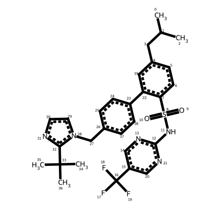 CC(C)Cc1ccc(S(=O)(=O)Nc2ncc(C(F)(F)F)cn2)c(-c2ccc(Cn3ccnc3C(C)(C)C)cc2)c1